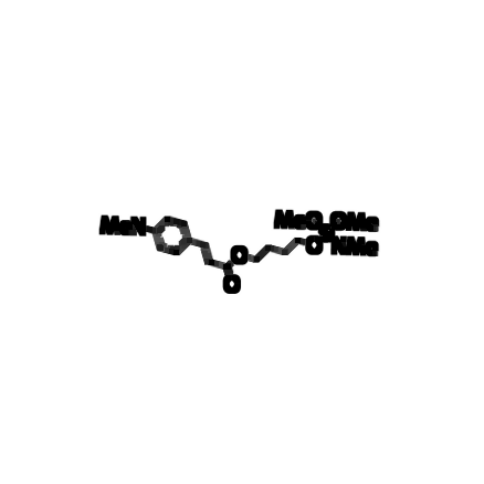 CNc1ccc(C=CC(=O)OCCCCO[Si](NC)(OC)OC)cc1